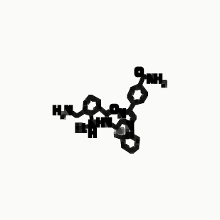 CCNc1c(CN)cccc1C(=O)N[C@@H](Cc1ccccc1)c1nc(-c2ccc(C(N)=O)cc2)c[nH]1